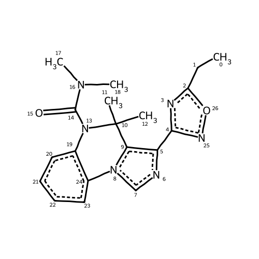 CCc1nc(-c2ncn3c2C(C)(C)N(C(=O)N(C)C)c2ccccc2-3)no1